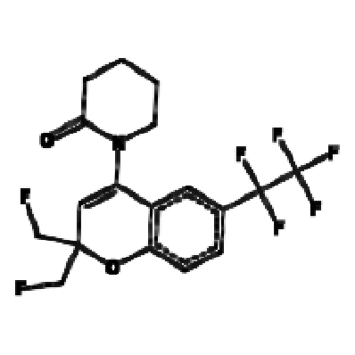 O=C1CCCCN1C1=CC(CF)(CF)Oc2ccc(C(F)(F)C(F)(F)F)cc21